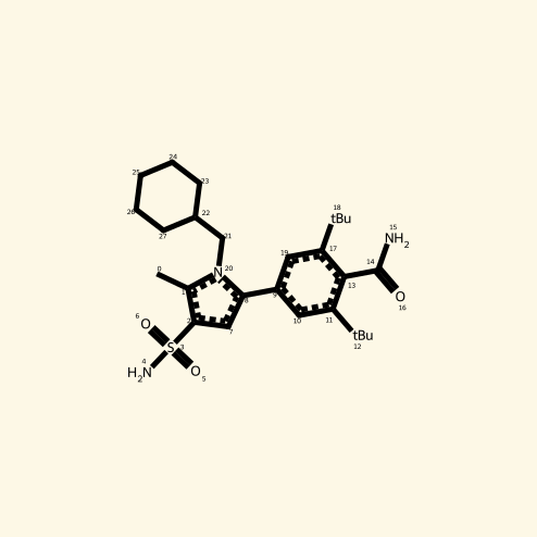 Cc1c(S(N)(=O)=O)cc(-c2cc(C(C)(C)C)c(C(N)=O)c(C(C)(C)C)c2)n1CC1CCCCC1